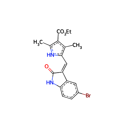 CCOC(=O)c1c(C)[nH]c(C=C2C(=O)Nc3ccc(Br)cc32)c1C